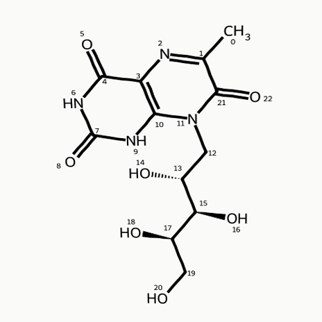 Cc1nc2c(=O)[nH]c(=O)[nH]c2n(C[C@@H](O)[C@@H](O)[C@H](O)CO)c1=O